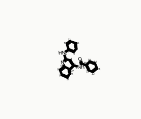 O=C(Nc1cc(Nc2ccccc2)nc2ccccc12)c1ccccc1